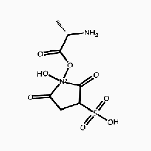 C[C@H](N)C(=O)O[N+]1(O)C(=O)CC(S(=O)(=O)O)C1=O